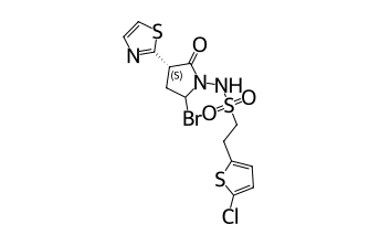 O=C1[C@@H](c2nccs2)CC(Br)N1NS(=O)(=O)CCc1ccc(Cl)s1